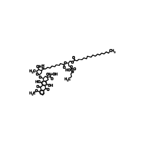 CCCCCCCCCCCCCCCCC(=O)OCC(COP(=O)(O)OCCC)OC(=O)CCCCCCCCN[C@H]1C[C@H](O[C@H]2C[C@](O)(C(=O)CO)Cc3c(O)c4c(c(O)c32)C(=O)c2c(OC)cccc2C4=O)O[C@@H](C)[C@H]1O